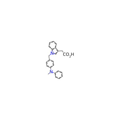 CN(c1ccccc1)c1ccc(Cn2cc(CC(=O)O)c3ccccc32)cc1